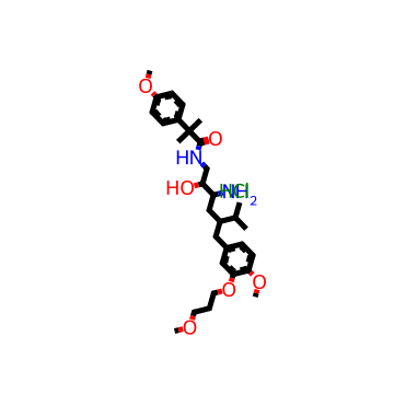 COCCCOc1cc(CC(CC(N)C(O)CNC(=O)C(C)(C)c2ccc(OC)cc2)C(C)C)ccc1OC.Cl